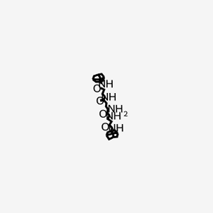 NC(CCC(=O)NCCC(=O)NC12CC3CC(CC(C3)C1)C2)C(=O)NCCC(=O)NC12CC3CC(CC(C3)C1)C2